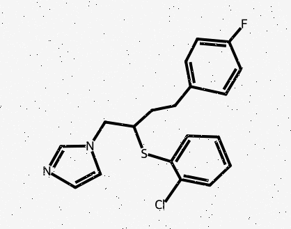 Fc1ccc(CCC(Cn2ccnc2)Sc2ccccc2Cl)cc1